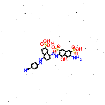 N#Cc1ccc(N=Nc2ccc(N=Nc3c(S(=O)(=O)O)cc4cc(S(=O)(=O)O)c(N)cc4c3O)c3cc(S(=O)(=O)O)ccc23)cc1